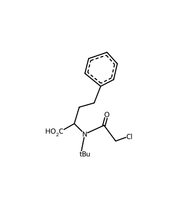 CC(C)(C)N(C(=O)CCl)C(CCc1ccccc1)C(=O)O